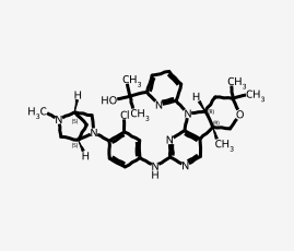 CN1C[C@@H]2C[C@H]1CN2c1ccc(Nc2ncc3c(n2)N(c2cccc(C(C)(C)O)n2)[C@@H]2CC(C)(C)OC[C@]32C)cc1Cl